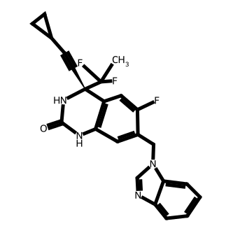 CC(F)(F)[C@@]1(C#CC2CC2)NC(=O)Nc2cc(Cn3cnc4ccccc43)c(F)cc21